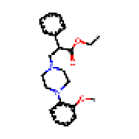 CCOC(=O)C(CN1CCN(c2ccccc2OC)CC1)c1ccccc1